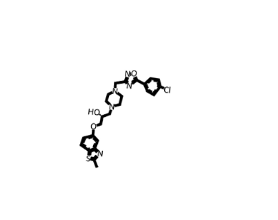 Cc1nc2cc(OC[C@H](O)CN3CCN(Cc4noc(-c5ccc(Cl)cc5)n4)CC3)ccc2s1